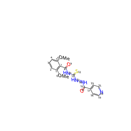 COc1cccc(OC)c1C(=O)NC(=S)NNC(=O)c1ccncc1